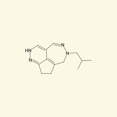 CC(C)CN1CC2=C3C(=CNN=C3CC2)C=N1